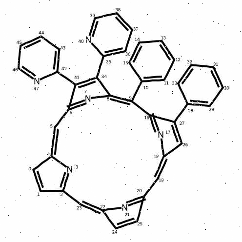 C1=CC2=NC1=CC1=NC(=C(c3ccccc3)C3=NC(=CC4=NC(=C2)C=C4)C=C3c2ccccc2)C(c2ccccn2)=C1c1ccccn1